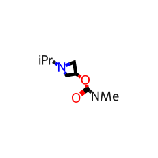 CNC(=O)OC1CN(C(C)C)C1